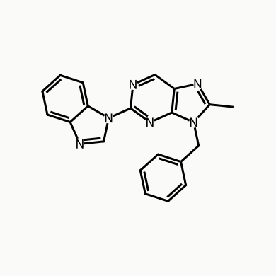 Cc1nc2cnc(-n3cnc4ccccc43)nc2n1Cc1ccccc1